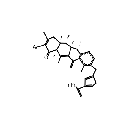 C=C(CCC)C1=CCC(Cc2ccc3c(c2C)C(=C)C2=C(C)[C@@]4(C)C(=O)C(C(C)=O)=C(C)C[C@@]4(C)[C@H](C)[C@@]2(C)[C@@H]3C)=C1